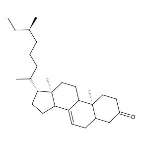 CC[C@@H](C)CCCC(C)[C@H]1CCC2C3=CCC4CC(=O)CC[C@]4(C)C3CC[C@@]21C